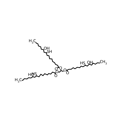 CCCCCCC(O)CC(S)CCCCCCCCC(=O)OCC(COC(=O)CCCCCCCCC(S)CC(O)CCCCCC)OC(=O)CCCCCCCCC(S)CC(O)CCCCCC